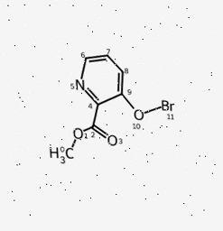 COC(=O)c1ncccc1OBr